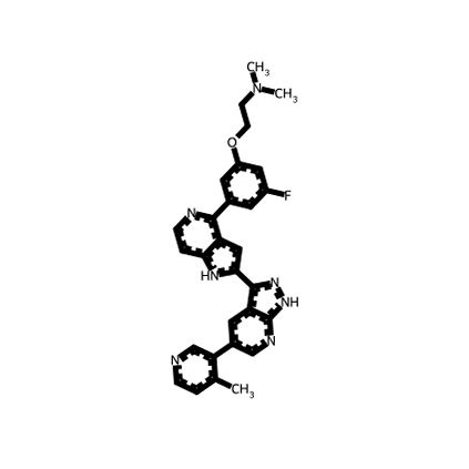 Cc1ccncc1-c1cnc2[nH]nc(-c3cc4c(-c5cc(F)cc(OCCN(C)C)c5)nccc4[nH]3)c2c1